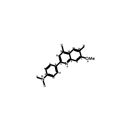 COc1cc2nc(-c3ccc(N(C)C)cc3)cc(C)c2cc1C